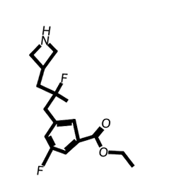 CCOC(=O)c1cc(F)cc(CC(C)(F)CC2CNC2)c1